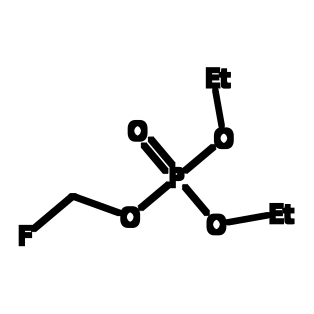 CCOP(=O)(OCC)OCF